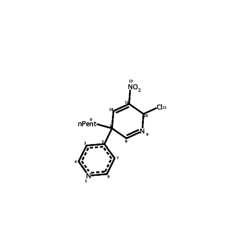 CCCCCC1(c2ccncc2)C=NC(Cl)C([N+](=O)[O-])=C1